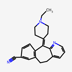 CCN1CCC(=C2c3ccc(C#N)cc3CCc3cccnc32)CC1